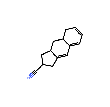 N#CC1CC2=CC3=CC=CCC3CC2C1